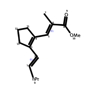 CCC/C=C/C1=C(/C=C(\C)C(=O)OC)CCC1